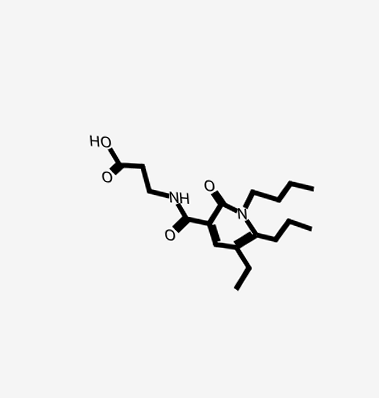 CCCCn1c(CCC)c(CC)cc(C(=O)NCCC(=O)O)c1=O